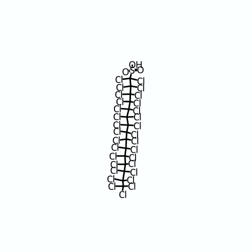 O=S(=O)(O)C(Cl)(Cl)C(Cl)(Cl)C(Cl)(Cl)C(Cl)(Cl)C(Cl)(Cl)C(Cl)(Cl)C(Cl)(Cl)C(Cl)(Cl)C(Cl)(Cl)C(Cl)(Cl)C(Cl)(Cl)C(Cl)(Cl)C(Cl)(Cl)C(Cl)(Cl)C(Cl)(Cl)Cl